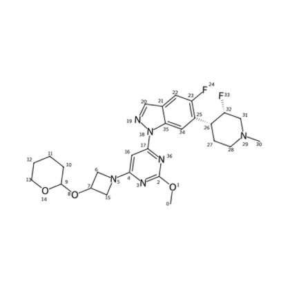 COc1nc(N2CC(OC3CCCCO3)C2)cc(-n2ncc3cc(F)c([C@H]4CCN(C)C[C@H]4F)cc32)n1